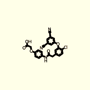 N#Cc1cc(C#N)cc(Oc2cc(CC(=O)Nc3ccc(OCC(=O)O)cc3)ccc2Cl)c1